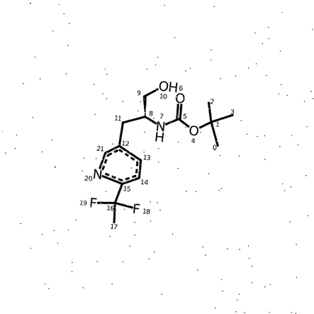 CC(C)(C)OC(=O)N[C@H](CO)Cc1ccc(C(C)(F)F)nc1